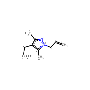 C=CCn1nc(C)c(CC(=O)OCC)c1C